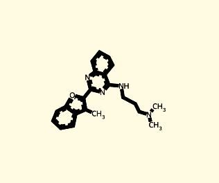 Cc1c(-c2nc(NCCCN(C)C)c3ccccc3n2)oc2ccccc12